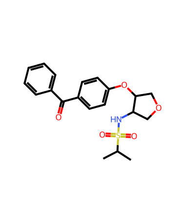 CC(C)S(=O)(=O)NC1COCC1Oc1ccc(C(=O)c2ccccc2)cc1